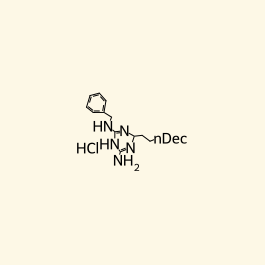 CCCCCCCCCCCCC1N=C(N)NC(NCc2ccccc2)=N1.Cl